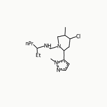 CCCC(CC)NCN1CC(C)C(Cl)CC1c1ccnn1C